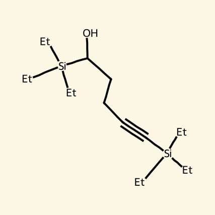 CC[Si](C#CCCC(O)[Si](CC)(CC)CC)(CC)CC